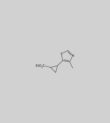 CCOC(=O)C1CC1c1scnc1C